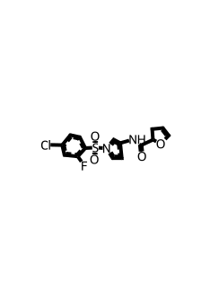 O=C(Nc1ccn(S(=O)(=O)c2ccc(Cl)cc2F)c1)C1CC=CO1